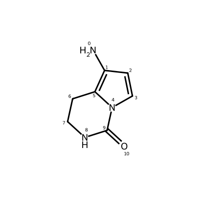 Nc1ccn2c1CCNC2=O